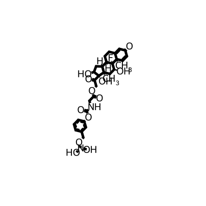 C[C@]12C=CC(=O)C=C1CC[C@H]1[C@@H]3CC(O)[C@](O)(C(=O)COC(=O)CNC(=O)Oc4cccc(CON(O)O)c4)[C@@]3(C)C[C@H](O)[C@@]12F